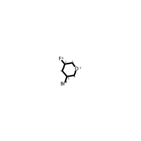 FC1[CH]OCC(Br)C1